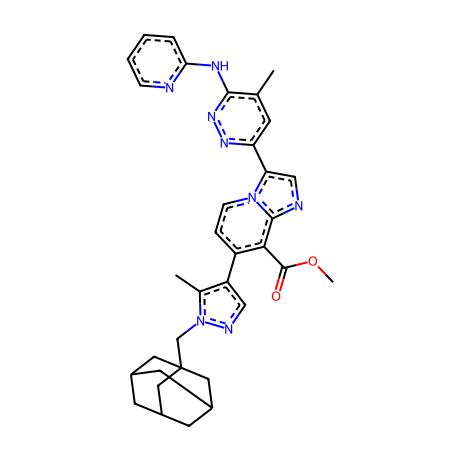 COC(=O)c1c(-c2cnn(CC34CC5CC(CC(C5)C3)C4)c2C)ccn2c(-c3cc(C)c(Nc4ccccn4)nn3)cnc12